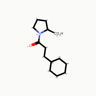 O=C(O)C1CCCN1C(=O)CCC1CCCCC1